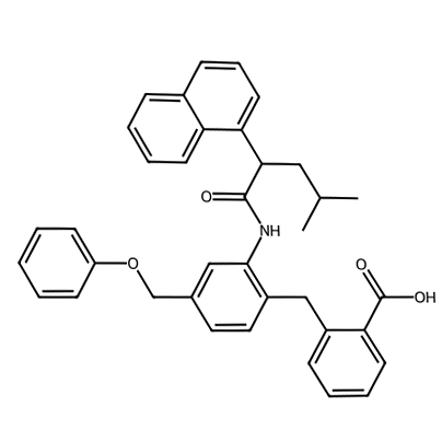 CC(C)CC(C(=O)Nc1cc(COc2ccccc2)ccc1Cc1ccccc1C(=O)O)c1cccc2ccccc12